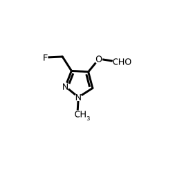 Cn1cc(OC=O)c(CF)n1